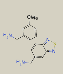 COc1cccc(CN)c1.NCc1ccc2nsnc2c1